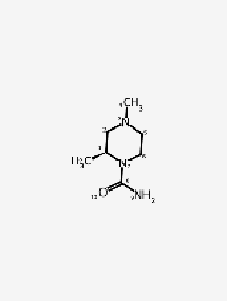 C[C@H]1CN(C)CCN1C(N)=O